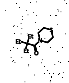 CCC(CC)(CC)C(=O)N1CCSCC1